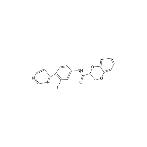 O=C(Nc1ccc(-c2ccncn2)c(F)c1)C1COc2ccccc2O1